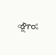 Cc1nc2c(C(=O)Nc3ccc(Cl)c(Cl)c3)cnn2c2c1CCC2